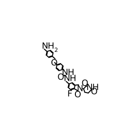 NCc1ccc(COc2ccc(NC(=O)NCc3cc(F)c4c(c3)CN(C3CCC(=O)NC3=O)C4=O)cc2)cc1